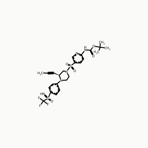 CC#C[C@H]1CN(S(=O)(=O)c2ccc(NC(=O)OC(C)(C)C)nc2)CCN1c1ccc(S(=N)(=O)C(F)(F)F)cc1